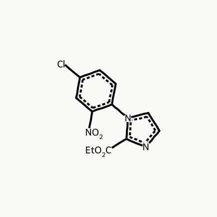 CCOC(=O)c1nccn1-c1ccc(Cl)cc1[N+](=O)[O-]